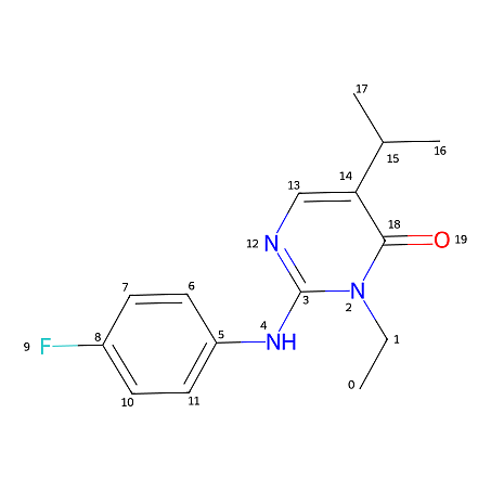 CCn1c(Nc2ccc(F)cc2)ncc(C(C)C)c1=O